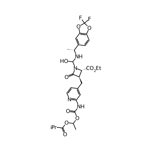 CCOC(=O)[C@@H]1[C@@H](Cc2ccnc(NC(=O)OC(C)OC(=O)C(C)C)c2)C(=O)N1C(O)N[C@H](C)c1ccc2c(c1)OC(F)(F)O2